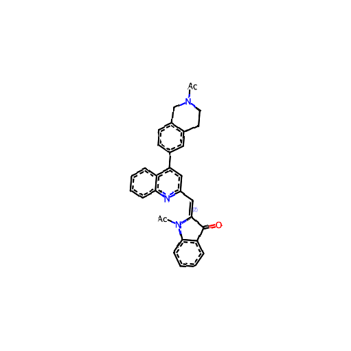 CC(=O)N1CCc2cc(-c3cc(/C=C4/C(=O)c5ccccc5N4C(C)=O)nc4ccccc34)ccc2C1